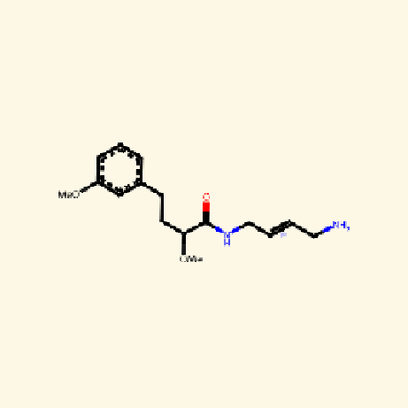 COc1cccc(CCC(OC)C(=O)NC/C=C/CN)c1